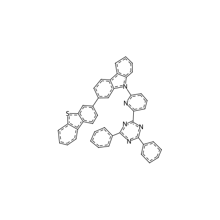 c1ccc(-c2nc(-c3ccccc3)nc(-c3cccc(-n4c5ccccc5c5ccc(-c6ccc7c(c6)sc6ccccc67)cc54)n3)n2)cc1